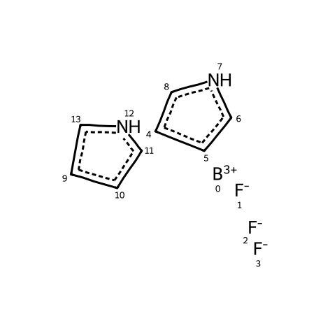 [B+3].[F-].[F-].[F-].c1cc[nH]c1.c1cc[nH]c1